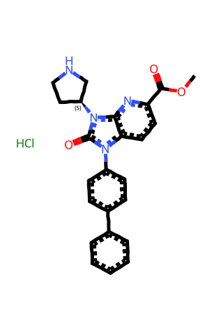 COC(=O)c1ccc2c(n1)n([C@H]1CCNC1)c(=O)n2-c1ccc(-c2ccccc2)cc1.Cl